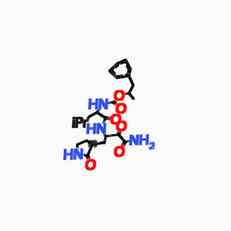 CC(C)CC(NC(=O)OC(C)Cc1ccccc1)C(=O)NC(C[C@@H]1CCNC1=O)C(=O)C(N)=O